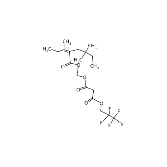 CC/C(C)=C(/CC(C)(C)CC)C(=O)OCOC(=O)CC(=O)OCC(F)(F)C(F)(F)F